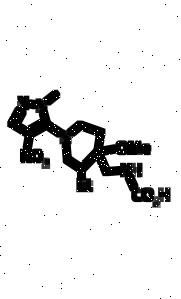 CCC1CN(c2c([N+](=O)[O-])cnn2C)CCC1(CNC(=O)O)OC